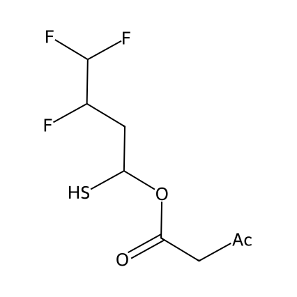 CC(=O)CC(=O)OC(S)CC(F)C(F)F